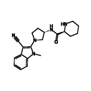 Cn1c(N2CC[C@H](NC(=O)[C@@H]3CCCCN3)C2)c(C#N)c2ccccc21